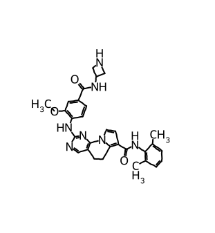 COc1cc(C(=O)NC2CNC2)ccc1Nc1ncc2c(n1)-n1ccc(C(=O)Nc3c(C)cccc3C)c1CC2